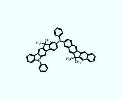 CC1(C)c2cc3ccccc3cc2-c2cc3ccc(N(c4ccccc4)c4ccc5c(c4)C(C)(C)c4cc6c7ccccc7n(-c7ccccc7)c6cc4-5)cc3cc21